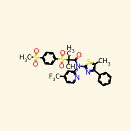 Cc1sc(N(C(=O)C(C)(C)S(=O)(=O)c2ccc(S(C)(=O)=O)cc2)c2cc(C(F)(F)F)ccn2)nc1-c1ccccc1